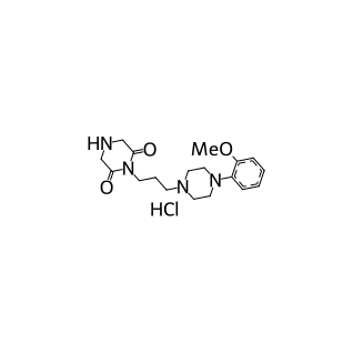 COc1ccccc1N1CCN(CCCN2C(=O)CNCC2=O)CC1.Cl